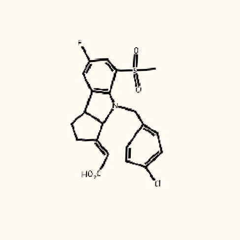 CS(=O)(=O)c1cc(F)cc2c1N(Cc1ccc(Cl)cc1)C1/C(=C/C(=O)O)CCC21